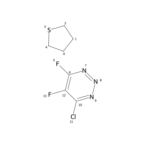 C1CCSC1.Fc1nnnc(Cl)c1F